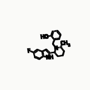 CC1CCCC(c2cc3cc(F)ccc3[nH]2)N1Cc1ccccc1O